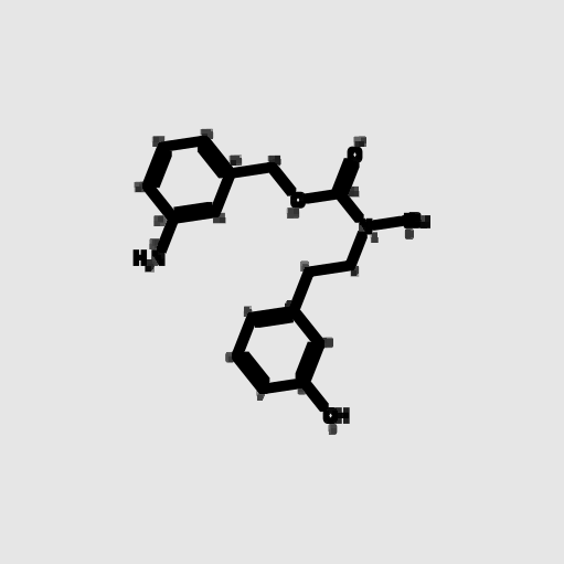 CC(C)(C)N(CCc1cccc(O)c1)C(=O)OCc1cccc(N)c1